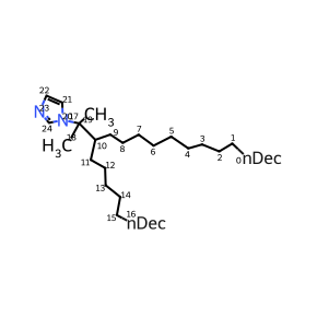 CCCCCCCCCCCCCCCCCCCC(CCCCCCCCCCCCCCC)C(C)(C)n1ccnc1